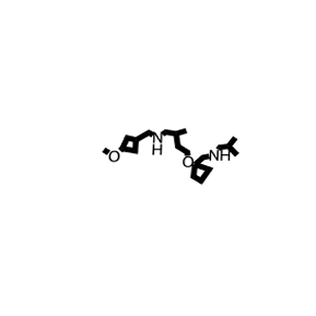 COC1CC(CNCC(C)CCOC2(CNCC(C)C)CCC2)C1